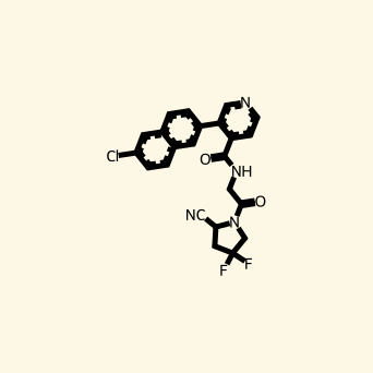 N#CC1CC(F)(F)CN1C(=O)CNC(=O)c1ccncc1-c1ccc2cc(Cl)ccc2c1